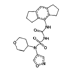 O=C(Nc1c2c(cc3c1CCC3)CCC2)NS(=O)(=O)N(c1cnoc1)C1CCOCC1